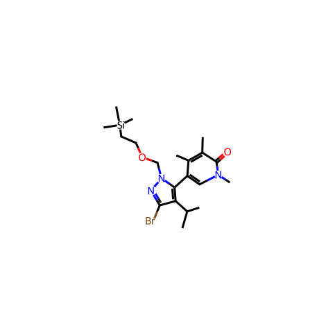 Cc1c(-c2c(C(C)C)c(Br)nn2COCC[Si](C)(C)C)cn(C)c(=O)c1C